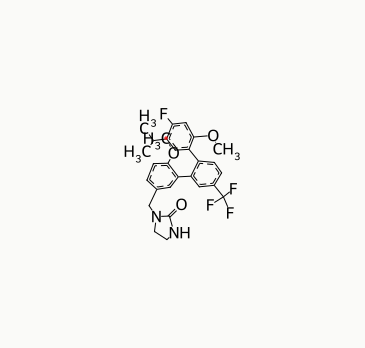 COc1ccc(CN2CCNC2=O)cc1-c1cc(C(F)(F)F)ccc1-c1cc(C(C)C)c(F)cc1OC